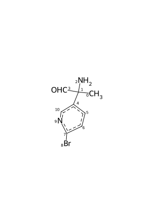 CC(N)(C=O)c1ccc(Br)nc1